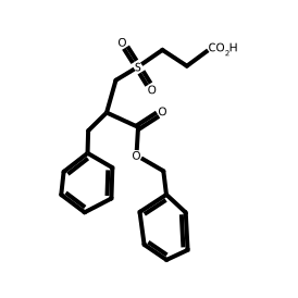 O=C(O)CCS(=O)(=O)CC(Cc1ccccc1)C(=O)OCc1ccccc1